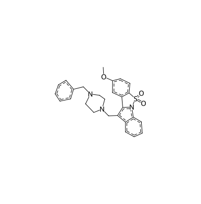 COc1ccc2c(c1)-c1c(CN3CCN(Cc4ccccc4)CC3)c3ccccc3n1S2(=O)=O